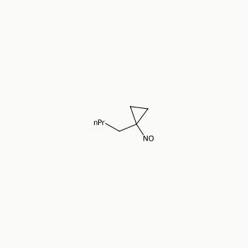 CCCCC1(N=O)CC1